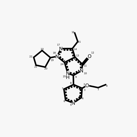 CCOc1cnccc1-c1nc(=O)c2c(CC)nn(C3CCCC3)c2[nH]1